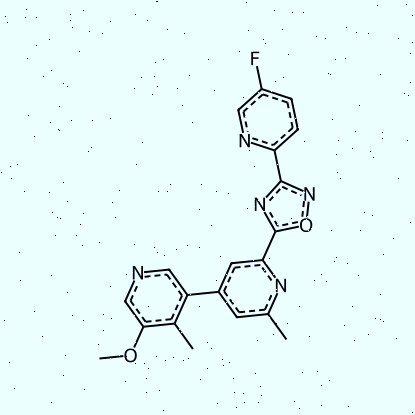 COc1cncc(-c2cc(C)nc(-c3nc(-c4ccc(F)cn4)no3)c2)c1C